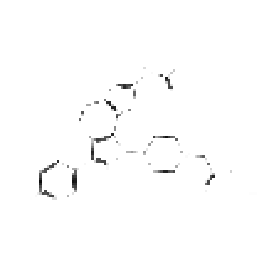 CC(=O)Nc1nc2c(s1)-c1c(c(-c3ccc(C)nc3)nn1C1CCN(CC(=O)N(C)C)CC1)CC2